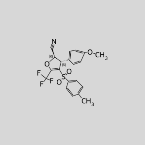 COc1ccc([C@@H]2C(S(=O)(=O)c3ccc(C)cc3)=C(C(F)(F)F)O[C@H]2C#N)cc1